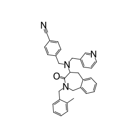 Cc1ccccc1CN1Cc2ccccc2CC(N(Cc2ccc(C#N)cc2)Cc2cccnc2)C1=O